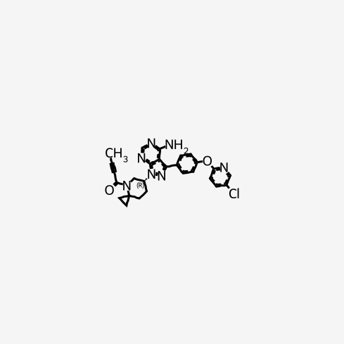 CC#CC(=O)N1C[C@H](n2nc(-c3ccc(Oc4ccc(Cl)cn4)cc3)c3c(N)ncnc32)CCC12CC2